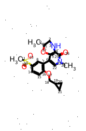 C[C@@H]1CNc2c(c(-c3cc(S(C)(=O)=O)ccc3OCC3CC3)cn(C)c2=O)O1